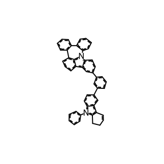 C1=Cc2c(n(-c3ccccc3)c3ccc(-c4cccc(-c5ccc6c(c5)c5cccc7c5n6-c5ccccc5-c5ccccc5-7)c4)cc23)CC1